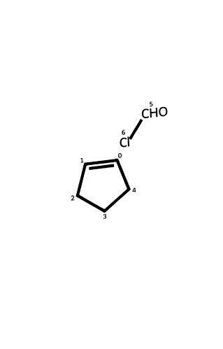 C1=CCCC1.O=CCl